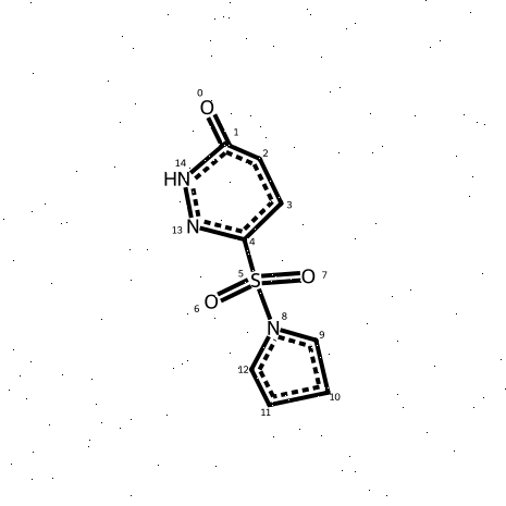 O=c1ccc(S(=O)(=O)n2cccc2)n[nH]1